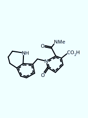 CNC(=O)c1c(C(=O)O)ccc(=O)n1Cc1cccc2c1NCCC2